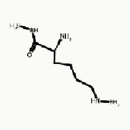 BBC(=O)[C@@H](N)CCCCNB